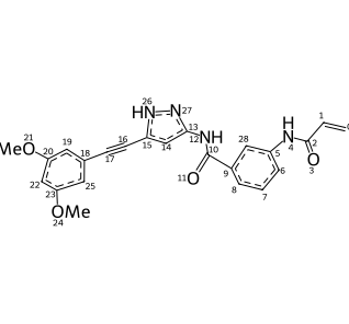 C=CC(=O)Nc1cccc(C(=O)Nc2cc(C#Cc3cc(OC)cc(OC)c3)[nH]n2)c1